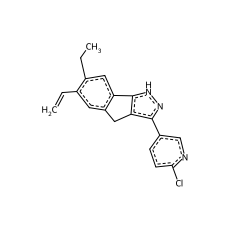 C=Cc1cc2c(cc1CC)-c1[nH]nc(-c3ccc(Cl)nc3)c1C2